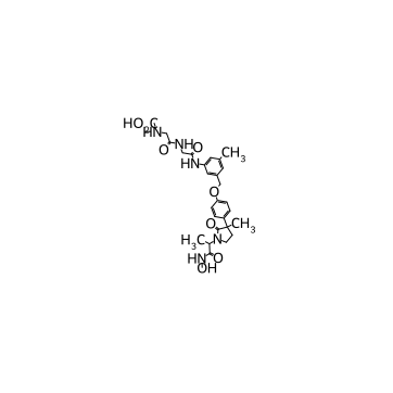 Cc1cc(COc2ccc(C3(C)CCN(C(C)C(=O)NO)C3=O)cc2)cc(NC(=O)CNC(=O)CNC(=O)O)c1